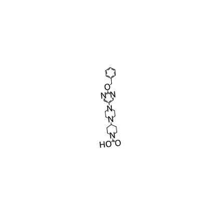 O=C(O)N1CCC(N2CCN(c3cnc(OCc4ccccc4)nc3)CC2)CC1